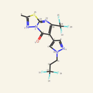 Cc1nn2c(=O)c(-c3cnn(CCC(F)(F)F)c3)c(C(F)(F)F)nc2s1